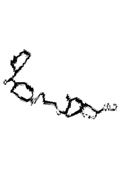 CCOC(=O)C(Cc1ccc(OCCCOc2ccc(C(=O)c3ccccc3)cc2)c(C)c1)OC